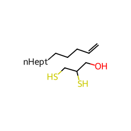 C=CCCCCCCCCCC.OCC(S)CS